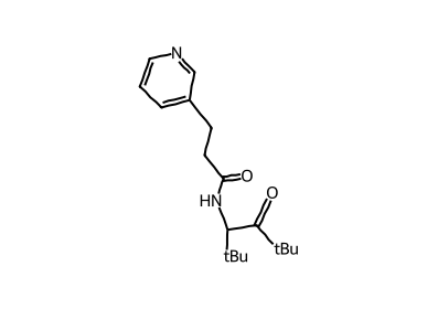 CC(C)(C)C(=O)C(NC(=O)CCc1cccnc1)C(C)(C)C